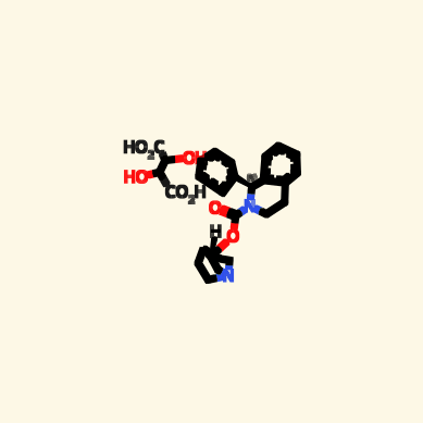 O=C(O)C(O)C(O)C(=O)O.O=C(O[C@@H]1CN2CCC1CC2)N1CCc2ccccc2[C@@H]1c1ccccc1